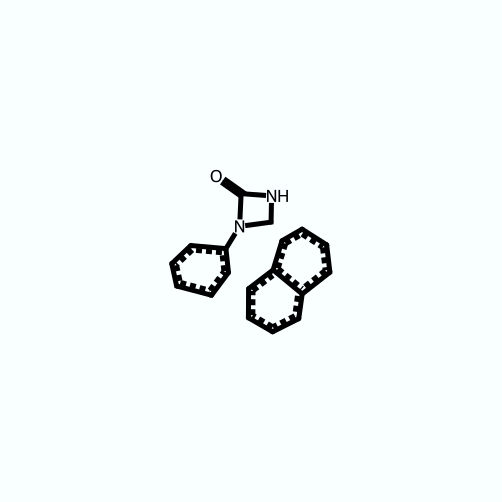 O=C1NCN1c1ccccc1.c1ccc2ccccc2c1